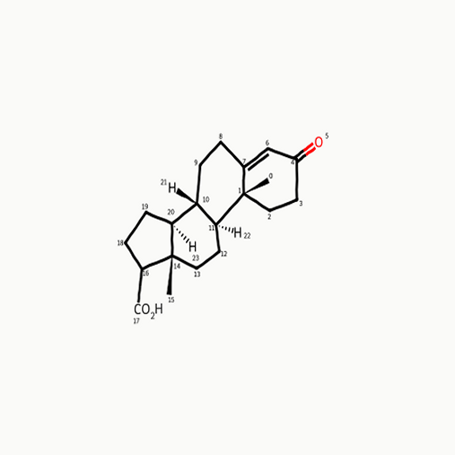 C[C@]12CCC(=O)C=C1CC[C@@H]1[C@@H]2CC[C@]2(C)C(C(=O)O)CC[C@@H]12